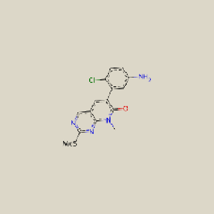 CSc1ncc2cc(-c3cc(N)ccc3Cl)c(=O)n(C)c2n1